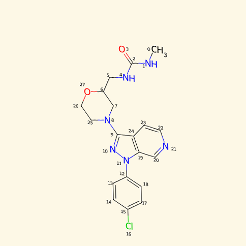 CNC(=O)NCC1CN(c2nn(-c3ccc(Cl)cc3)c3cnccc23)CCO1